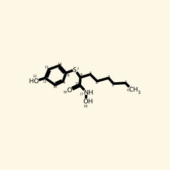 CCCCCCC(Sc1ccc(O)cc1)C(=O)NO